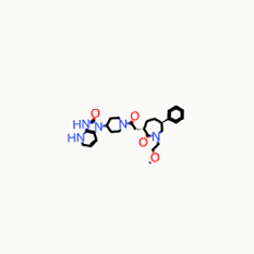 COCCN1C[C@H](c2ccccc2)CC[C@@H](CC(=O)N2CCC(n3c4c([nH]c3=O)NCC=C4)CC2)C1=O